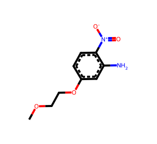 COCCOc1ccc([N+](=O)[O-])c(N)c1